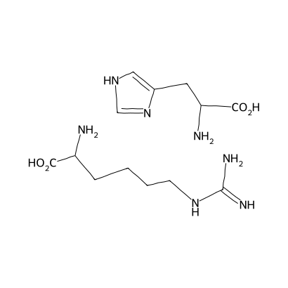 N=C(N)NCCCCC(N)C(=O)O.NC(Cc1c[nH]cn1)C(=O)O